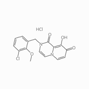 COc1c(Cl)cccc1Cn1ccn2ccc(=O)c(O)c2c1=O.Cl